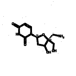 NC[C@@]1(CO)O[C@H](n2ccc(=O)[nH]c2=O)CC1O